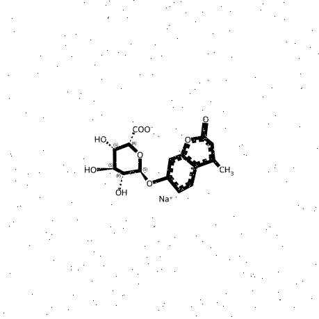 Cc1cc(=O)oc2cc(O[C@@H]3O[C@@H](C(=O)[O-])[C@@H](O)[C@H](O)[C@H]3O)ccc12.[Na+]